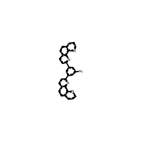 CC(=O)c1cc(-c2ccc3ccc4cccnc4c3n2)cc(-c2ccc3ccc4cccnc4c3n2)c1